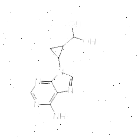 Nc1ncnc2c1ncn2C1CC1C(O)O